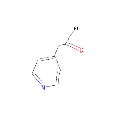 CCC(=O)Cc1ccncc1